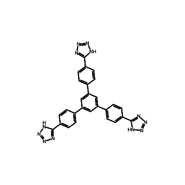 c1cc(-c2nnn[nH]2)ccc1-c1cc(-c2ccc(-c3nnn[nH]3)cc2)cc(-c2ccc(-c3nnn[nH]3)cc2)c1